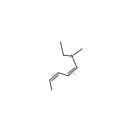 C/C=C\C=C/N(C)CC